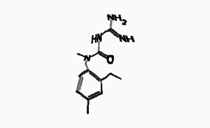 CCc1cc(C)ccc1N(C)C(=O)NC(=N)N